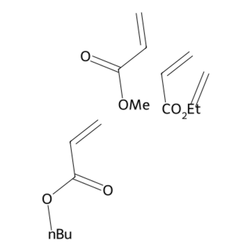 C=C.C=CC(=O)OC.C=CC(=O)OCC.C=CC(=O)OCCCC